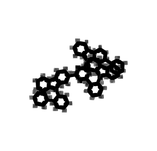 c1ccc(-c2ccc3c4ccccc4n(-c4nc(-c5ccc6c7ccccc7n(-c7ccccc7-c7ccccc7)c6c5)nc(-c5ccccc5-n5c6ccccc6c6ccccc65)n4)c3c2)cc1